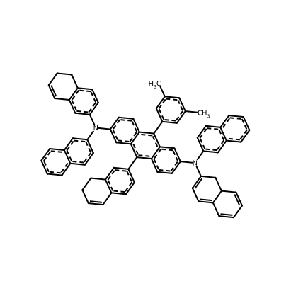 Cc1cc(C)cc(-c2c3ccc(N(c4ccc5c(c4)C=CCC5)c4ccc5ccccc5c4)cc3c(-c3ccc4c(c3)CCC=C4)c3ccc(N(C4=CC=C5C=CC=CC5C4)c4ccc5ccccc5c4)cc23)c1